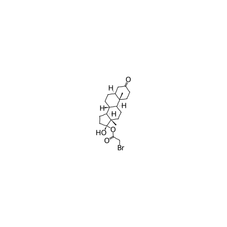 C[C@]12CCC(=O)C[C@@H]1CC[C@@H]1[C@@H]2CC[C@@]2(C)[C@H]1CC[C@@]2(O)OC(=O)CBr